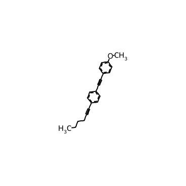 CCCCC#Cc1ccc(C#Cc2ccc(OC)cc2)cc1